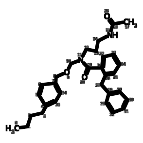 CCCCc1ccc(COCN(CCCNC(C)=O)C(=O)c2ccccc2Cc2ccccc2)cc1